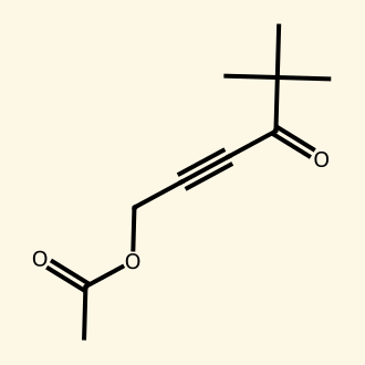 CC(=O)OCC#CC(=O)C(C)(C)C